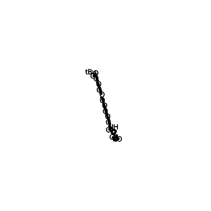 CC(C)(C)OC(=O)COCCOCCOCCOCCOCCOCCOCCOCCOCCNC(=O)[C@H]1CC[C@H](CN2C(=O)C=CC2=O)CC1